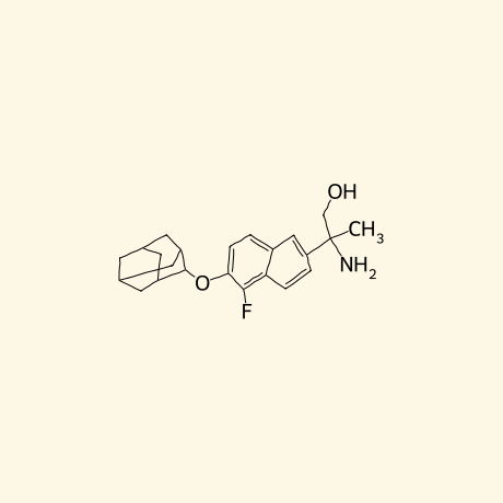 CC(N)(CO)c1ccc2c(F)c(OC3C4CC5CC(C4)CC3C5)ccc2c1